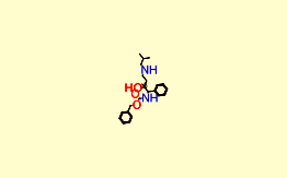 CC(C)CNCC[C@H](O)C(NC(=O)OCc1ccccc1)c1ccccc1